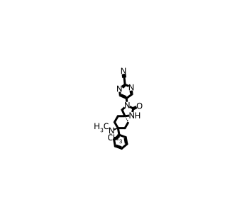 CN(C)[C@]1(c2ccccc2)CC[C@]2(CC1)CN(c1cnc(C#N)nc1)C(=O)N2